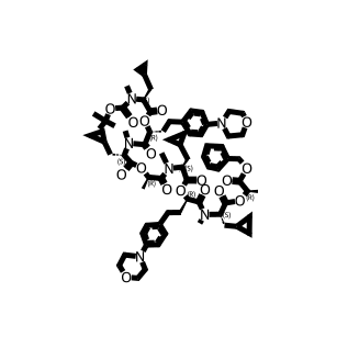 C[C@@H](OC(=O)[C@H](CC1CC1)N(C)C(=O)[C@@H](CCc1ccc(N2CCOCC2)cc1)OC(=O)[C@H](CC1CC1)N(C)C(=O)[C@@H](C)OC(=O)[C@H](CC1CC1)N(C)C(=O)[C@@H](CCc1ccc(N2CCOCC2)cc1)OC(=O)[C@H](CC1CC1)N(C)C(=O)OC(C)(C)C)C(=O)OCc1ccccc1